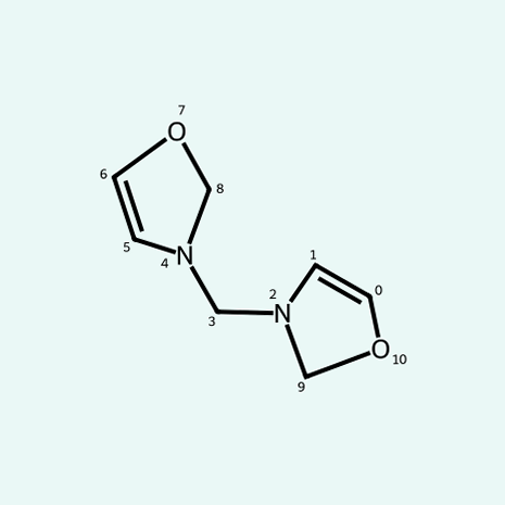 C1=CN(CN2C=COC2)CO1